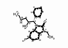 CCn1c(=O)n([C@@H](c2ccccc2)[C@@H](O)CNC)c2cc(F)ccc21